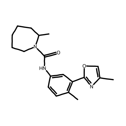 Cc1coc(-c2cc(NC(=O)N3CCCCCC3C)ccc2C)n1